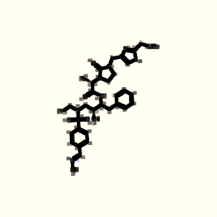 COCc1nc(CN2CCN([C@H](C(=O)N[C@@H](Cc3ccccc3)[C@H](O)CN(CC(C)C)S(=O)(=O)c3ccc(/C=N/O)cc3)C(C)C)C2=O)cs1